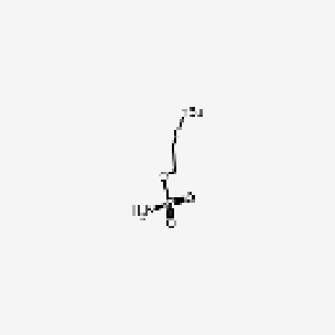 CCCCCCCOS(N)(=O)=O